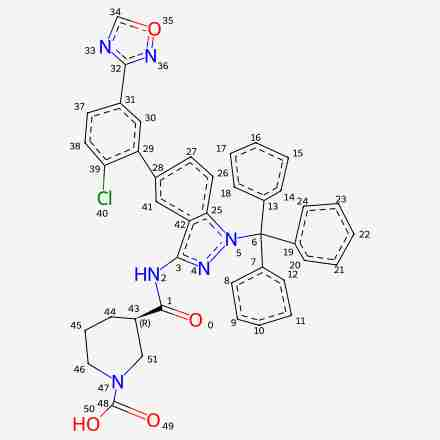 O=C(Nc1nn(C(c2ccccc2)(c2ccccc2)c2ccccc2)c2ccc(-c3cc(-c4ncon4)ccc3Cl)cc12)[C@@H]1CCCN(C(=O)O)C1